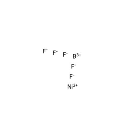 [B+3].[F-].[F-].[F-].[F-].[F-].[Ni+2]